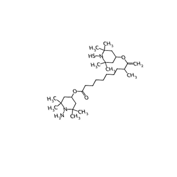 C=C(OC1CC(C)(C)N(S)C(C)(C)C1)C(C)CCCCCCCC(=O)OC1CC(C)(C)N(N)C(C)(C)C1